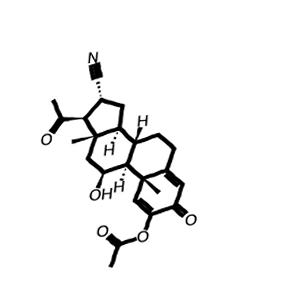 CC(=O)OC1=C[C@@]2(C)C(=CC1=O)CC[C@@H]1[C@@H]2[C@@H](O)C[C@@]2(C)[C@H]1C[C@@H](C#N)[C@@H]2C(C)=O